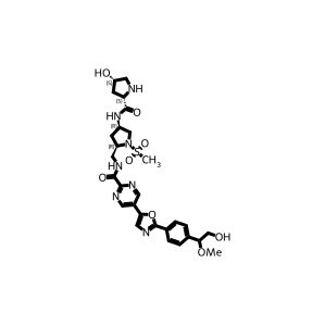 COC(CO)c1ccc(-c2ncc(-c3cnc(C(=O)NC[C@H]4C[C@@H](NC(=O)[C@@H]5C[C@H](O)CN5)CN4S(C)(=O)=O)nc3)o2)cc1